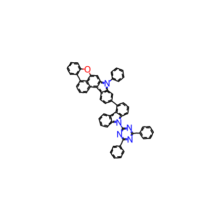 c1ccc(-c2nc(-c3ccccc3)nc(-n3c4ccccc4c4c(-c5ccc6c7c8cccc9c8c(cc7n(-c7ccccc7)c6c5)Oc5ccccc5-9)cccc43)n2)cc1